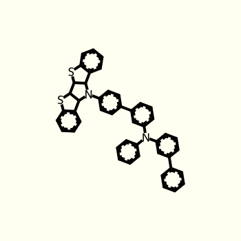 c1ccc(-c2cccc(N(c3ccccc3)c3cccc(-c4ccc(N5C6c7ccccc7SC6C6Sc7ccccc7C65)cc4)c3)c2)cc1